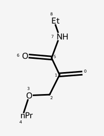 C=C(COCCC)C(=O)NCC